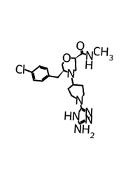 CNC(=O)[C@H]1CN(C2CCN(c3nnc(N)[nH]3)CC2)[C@@H](Cc2ccc(Cl)cc2)CO1